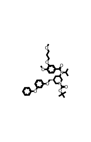 COCCCOc1cc(C(=O)N(C(C)C)C2C[C@H](COc3cccc(Oc4ccccc4)c3)CN(C(=O)OC(C)(C)C)C2)ccc1OC